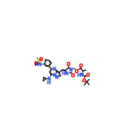 CC(NC(=O)OC(C)(C)C)C(=O)OCN1C(=O)N/C(=C\c2cnn3c(NC4CC4)cc(-c4cccc(NS(C)(=O)=O)c4)nc23)C1=O